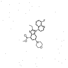 CCc1nc2c(C(=O)OC)cc(N3CCOCC3)cc2n1-c1ccnc2c(F)cccc12